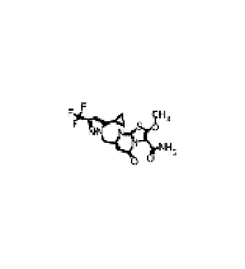 COc1sc2nc(Cn3nc(C(F)(F)F)cc3C3CC3)cc(=O)n2c1C(N)=O